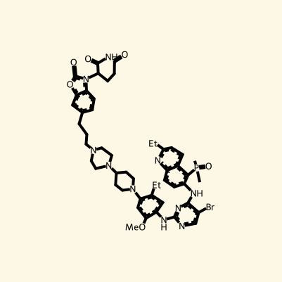 CCc1ccc2c(P(C)(C)=O)c(Nc3nc(Nc4cc(CC)c(N5CCC(N6CCN(CCCc7ccc8c(c7)oc(=O)n8C7CCC(=O)NC7=O)CC6)CC5)cc4OC)ncc3Br)ccc2n1